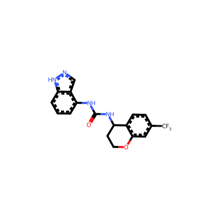 O=C(Nc1cccc2[nH]ncc12)NC1CCOc2cc(C(F)(F)F)ccc21